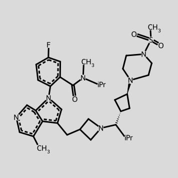 Cc1cncc2c1c(CC1CN(C(C(C)C)[C@H]3C[C@H](N4CCN(S(C)(=O)=O)CC4)C3)C1)cn2-c1ccc(F)cc1C(=O)N(C)C(C)C